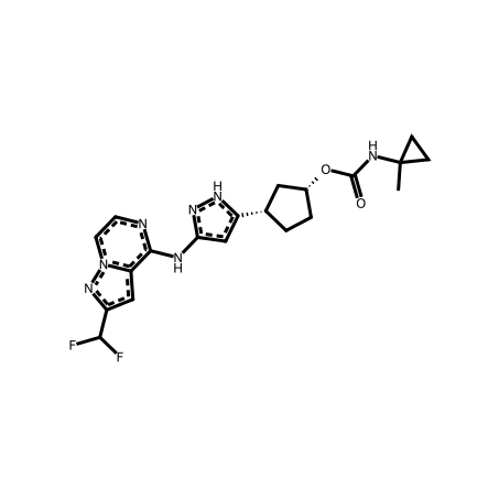 CC1(NC(=O)O[C@@H]2CC[C@H](c3cc(Nc4nccn5nc(C(F)F)cc45)n[nH]3)C2)CC1